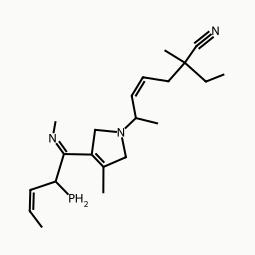 C/C=C\C(P)/C(=N/C)C1=C(C)CN(C(C)/C=C\CC(C)(C#N)CC)C1